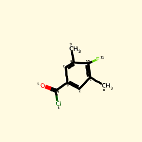 Cc1cc(C(=O)Cl)cc(C)c1F